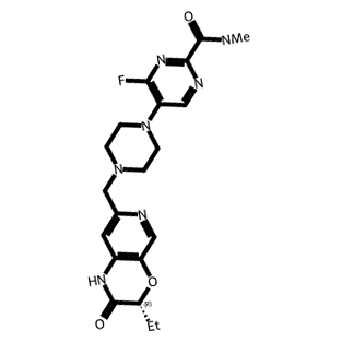 CC[C@H]1Oc2cnc(CN3CCN(c4cnc(C(=O)NC)nc4F)CC3)cc2NC1=O